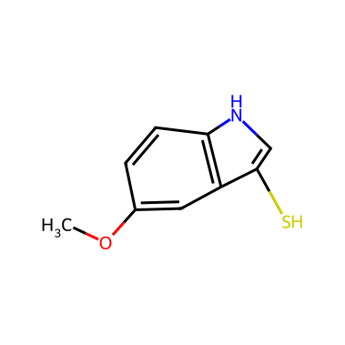 COc1ccc2[nH]cc(S)c2c1